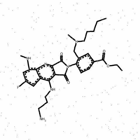 CCCCCN(C)Cc1cc(C(=O)OCC)ccc1N1C(=O)c2nc3c(NC)cc(F)cc3c(NCCCN)c2C1=O